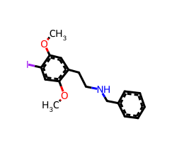 COc1cc(CCNCc2ccccc2)c(OC)cc1I